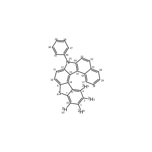 [2H]c1c([2H])c([2H])c2c(sc3ccc4c(c32)c2c3ccccc3ccc2n4-c2ccccc2)c1[2H]